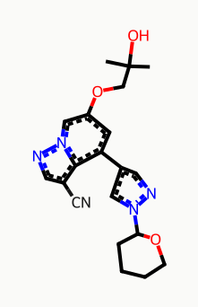 CC(C)(O)COc1cc(-c2cnn(C3CCCCO3)c2)c2c(C#N)cnn2c1